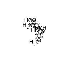 COc1ccc(C(Nc2cccc(C(N)C(=O)O)c2)C(=O)O)cc1